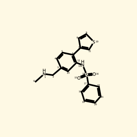 CNCc1ccc(-c2ccsc2)c(NS(=O)(=O)c2ccccc2)c1